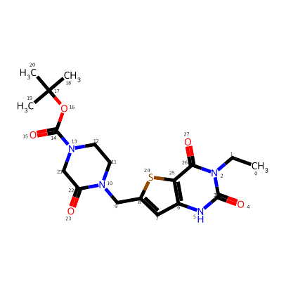 CCn1c(=O)[nH]c2cc(CN3CCN(C(=O)OC(C)(C)C)CC3=O)sc2c1=O